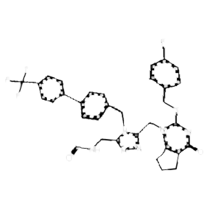 O=CNCc1nnc(Cn2c(SCc3ccc(F)cc3)nc(=O)c3c2CCC3)n1Cc1ccc(-c2ccc(C(F)(F)F)cc2)cc1